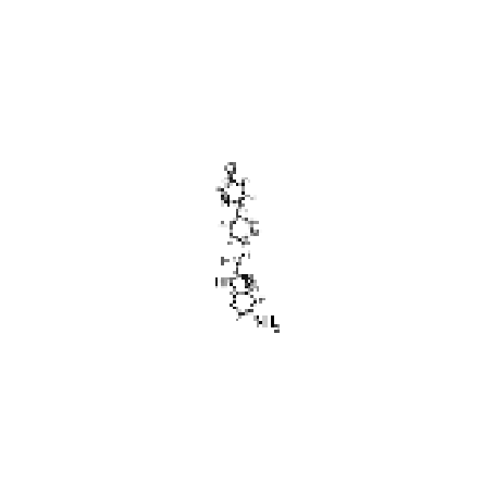 Nc1ccc2[nH]c(NCc3ccc(-c4ccc(Cl)cn4)cc3)nc2c1